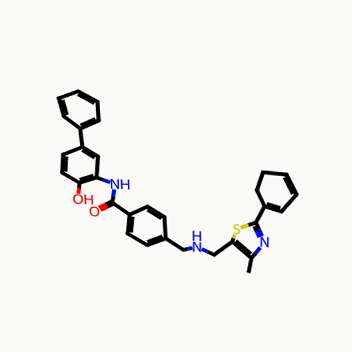 Cc1nc(C2=CC=CCC2)sc1CNCc1ccc(C(=O)Nc2cc(-c3ccccc3)ccc2O)cc1